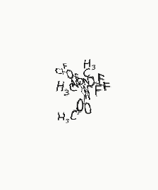 CCOC(=O)C1=NN(c2cc(C(F)(F)F)cc(C)n2)C(C(=O)N(C)c2cc(Cl)c(F)cc2F)C1